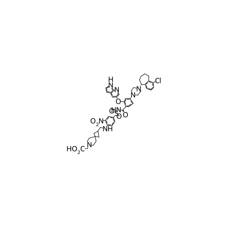 O=C(O)CN1CCC2(CC1)CC(CNc1ccc(S(=O)(=O)NC(=O)c3ccc(N4CCN([C@@H]5CCCCc6c(Cl)cccc65)CC4)cc3Oc3cnc4[nH]ccc4c3)cc1[N+](=O)[O-])C2